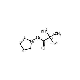 CCCC(C)(CCC)C(=O)ON1CCCC1